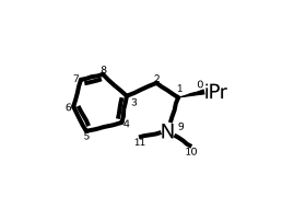 CC(C)[C@H](Cc1ccccc1)N(C)C